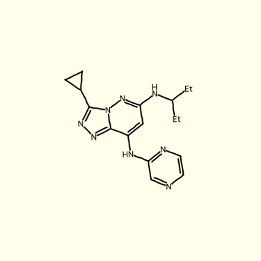 CCC(CC)Nc1cc(Nc2cnccn2)c2nnc(C3CC3)n2n1